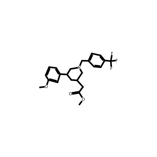 COC(=O)CC1CC(c2cccc(OC)c2)CN(Cc2ccc(C(F)(F)F)cc2)C1